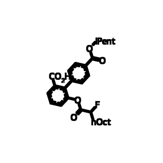 CCCCCCCCC(F)C(=O)Oc1cccc(C(=O)O)c1-c1ccc(C(=O)OC(C)CCC)cc1